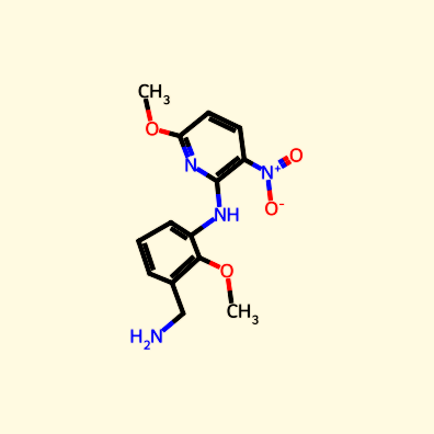 COc1ccc([N+](=O)[O-])c(Nc2cccc(CN)c2OC)n1